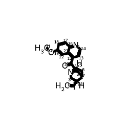 C=C[C@@H]1CN2CCC1C[C@@H]2C(=O)c1ccnc2ccc(OC)cc12